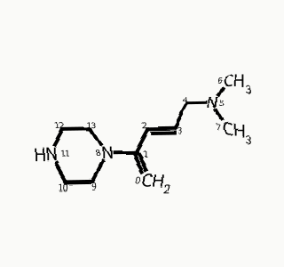 C=C(/C=C/CN(C)C)N1CCNCC1